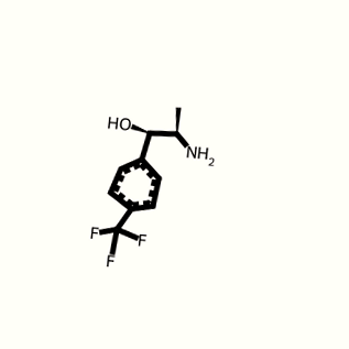 C[C@@H](N)[C@H](O)c1ccc(C(F)(F)F)cc1